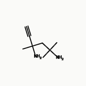 C#CC(C)(N)CC(C)(C)N